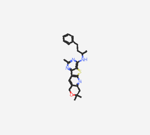 Cc1nc(NC(C)CCc2ccccc2)c2sc3nc4c(cc3c2n1)COC(C)(C)C4